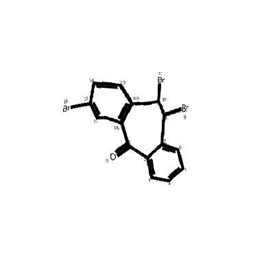 O=C1c2ccccc2C(Br)C(Br)c2ccc(Br)cc21